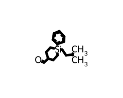 CC(C)CC[Si]1(c2ccccc2)CCC(C=O)CC1